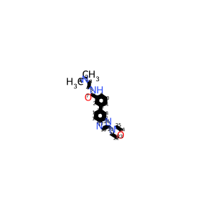 CN(C)CCNC(=O)c1cccc(-c2ccc3ncc(N4CCOCC4)nc3c2)c1